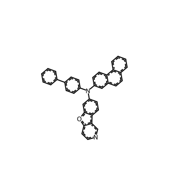 c1ccc(-c2ccc(N(c3ccc4c(ccc5ccccc54)c3)c3ccc4c(c3)oc3ccncc34)cc2)cc1